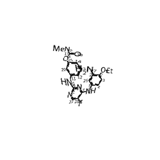 CCOc1ccc(Nc2nc(Nc3cccc(OC(=O)NC)c3)ncc2F)cc1N